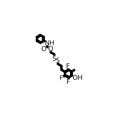 Cc1c(O)c(F)c(F)c(CCCSSCCOC(=O)Nc2ccccc2)c1F